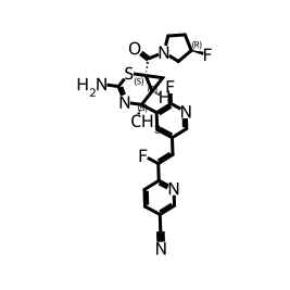 C[C@]1(c2cc(C=C(F)c3ccc(C#N)cn3)cnc2F)N=C(N)S[C@@]2(C(=O)N3CC[C@@H](F)C3)C[C@H]21